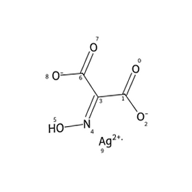 O=C([O-])C(=NO)C(=O)[O-].[Ag+2]